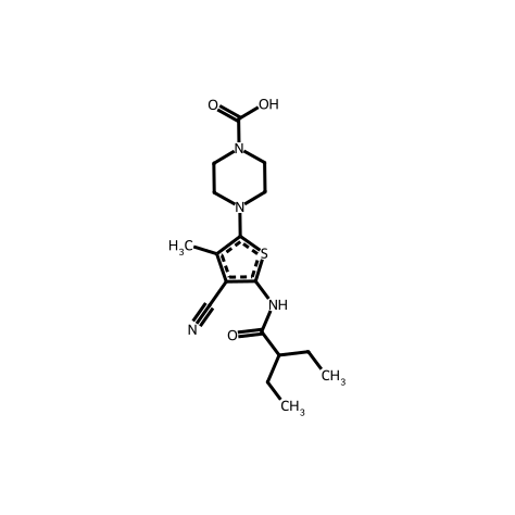 CCC(CC)C(=O)Nc1sc(N2CCN(C(=O)O)CC2)c(C)c1C#N